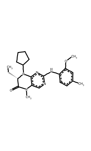 CC[C@H]1C(=O)N(C)c2cnc(Nc3ccc(C)cc3OC)nc2N1C1CCCC1